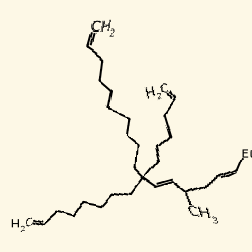 C=CCCCCCCCCC(C=CC(C)CC=CCC)(CCCCC=C)CCCCCCC=C